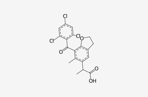 Cc1c(C(C)C(=O)O)cc2c(c1C(=O)c1c(Cl)cc(Cl)cc1Cl)OCC2